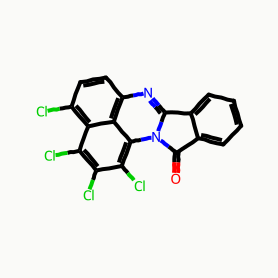 O=C1c2ccccc2C2=Nc3ccc(Cl)c4c(Cl)c(Cl)c(Cl)c(c34)N12